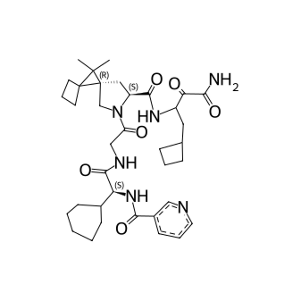 CC1(C)C2(CCC2)[C@@]12C[C@@H](C(=O)NC(CC1CCC1)C(=O)C(N)=O)N(C(=O)CNC(=O)[C@@H](NC(=O)c1cccnc1)C1CCCCC1)C2